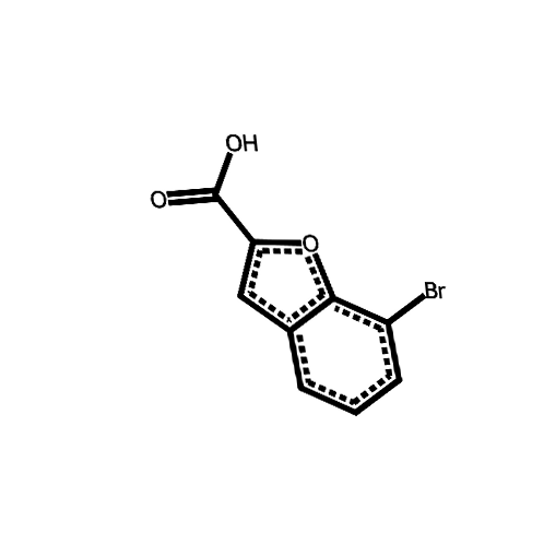 O=C(O)c1cc2cccc(Br)c2o1